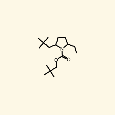 CCC1CCC(CC(C)(C)C)N1C(=O)OCC(C)(C)C